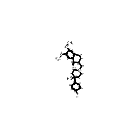 COc1cc2c(cc1OC)C(=O)C(CN1CCC(O)(c3ccc(F)cc3)CC1)CC2